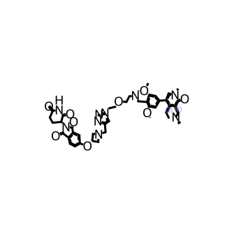 C=N/C=c1/c(=O)n(C)cc(-c2cc(OC)c(CN(C)CCOCCn3cc(CN4CC(Oc5ccc6c(c5)C(=O)N(C5CCC(=O)NC5=O)C6=O)C4)nn3)c(OC)c2)/c1=C/C